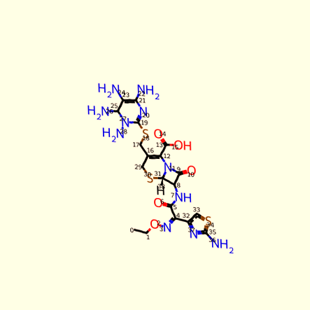 CCO/N=C(\C(=O)NC1C(=O)N2C(C(=O)O)=C(CSC3=NC(N)=C(N)C(N)N3N)CS[C@@H]12)c1csc(N)n1